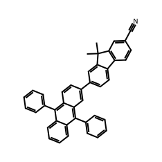 CC1(C)c2cc(C#N)ccc2-c2ccc(-c3ccc4c(-c5ccccc5)c5ccccc5c(-c5ccccc5)c4c3)cc21